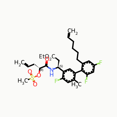 C=CCCCCc1cc(F)cc(F)c1-c1cc([C@H](CC(=O)OCC)NC(=O)[C@@H](CC=C)OS(C)(=O)=O)c(F)cc1C